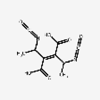 CC(N=C=O)C(C(=O)O)=C(C(=O)O)C(C)N=C=O